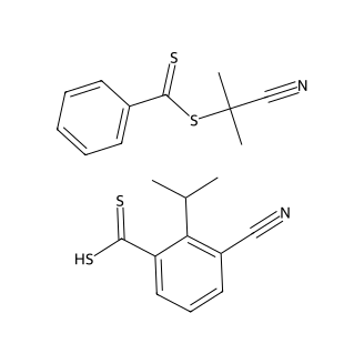 CC(C)(C#N)SC(=S)c1ccccc1.CC(C)c1c(C#N)cccc1C(=S)S